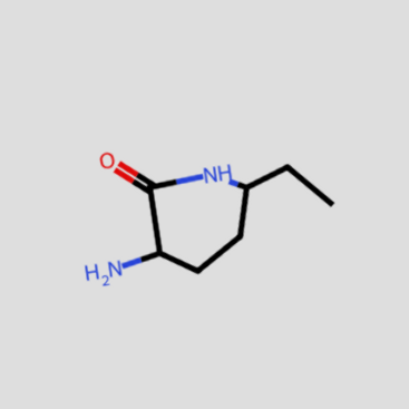 CCC1CCC(N)C(=O)N1